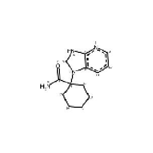 NC(=O)C1(N2CNc3ncccc32)CCCCC1